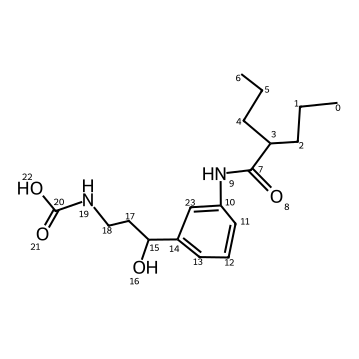 CCCC(CCC)C(=O)Nc1cccc(C(O)CCNC(=O)O)c1